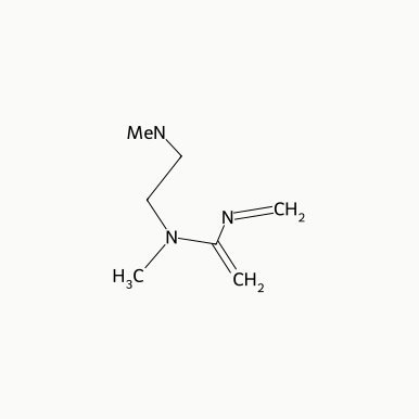 C=NC(=C)N(C)CCNC